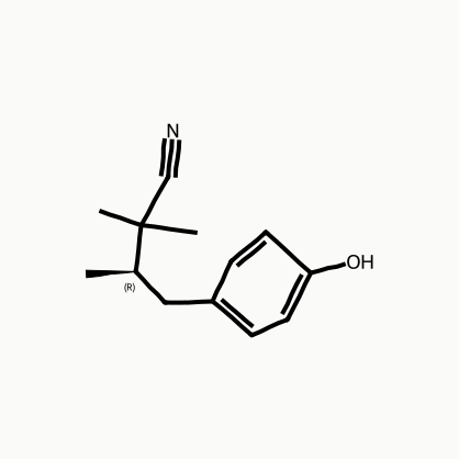 C[C@H](Cc1ccc(O)cc1)C(C)(C)C#N